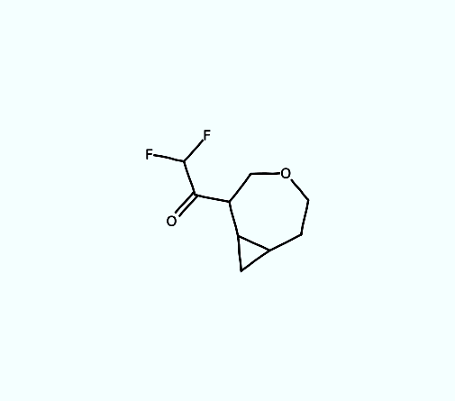 O=C(C(F)F)C1COCCC2CC21